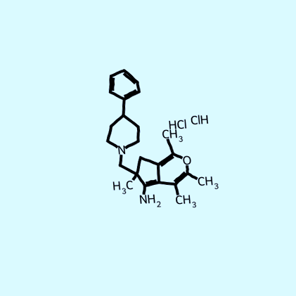 CC1=C(C)C2=C(N)C(C)(CN3CCC(c4ccccc4)CC3)CC2=C(C)O1.Cl.Cl